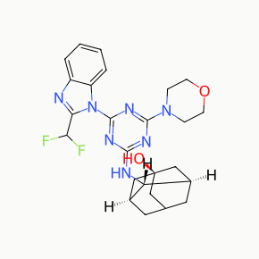 O[C@]12CC3C[C@H](C1)[C@@H](Nc1nc(N4CCOCC4)nc(-n4c(C(F)F)nc5ccccc54)n1)[C@@H](C3)C2